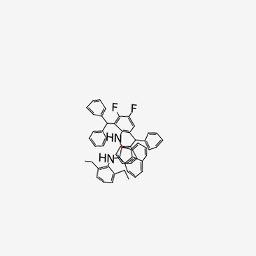 CCc1cccc(CC)c1NC1c2cccc3cccc(c23)C1Nc1c(C(c2ccccc2)c2ccccc2)cc(F)c(F)c1C(c1ccccc1)c1ccccc1